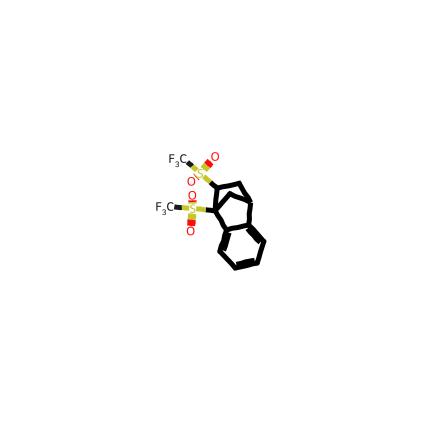 O=S(=O)(C1CC2CC1(S(=O)(=O)C(F)(F)F)c1ccccc12)C(F)(F)F